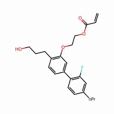 C=CC(=O)OCCOc1cc(-c2ccc(CCC)cc2F)ccc1CCCO